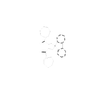 O=C(CCC1(CCC(=O)N2CCCCCC2)c2ccccc2-c2ccccc21)N1CCCCCC1